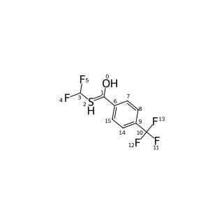 OC(=[SH]C(F)F)c1ccc(C(F)(F)F)cc1